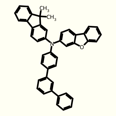 CC1(C)c2ccccc2-c2ccc(N(c3ccc(-c4cccc(-c5ccccc5)c4)cc3)c3ccc4c(c3)oc3ccccc34)cc21